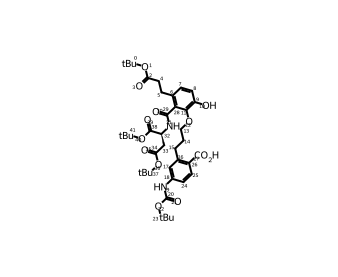 CC(C)(C)OC(=O)CCc1ccc(O)c(OCCCc2cc(NC(=O)OC(C)(C)C)ccc2C(=O)O)c1C(=O)N[C@@H](CC(=O)OC(C)(C)C)C(=O)OC(C)(C)C